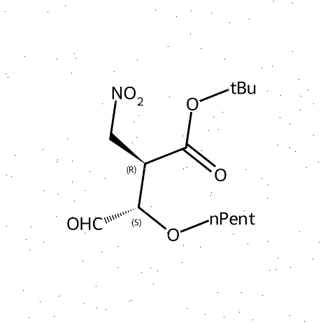 CCCCCO[C@H](C=O)[C@@H](C[N+](=O)[O-])C(=O)OC(C)(C)C